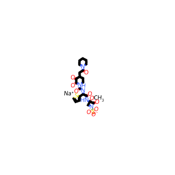 COC1(NC(=O)C(NC(=O)N2CCC(CC(=O)N3CCCCC3)C(=O)C2=O)c2cccs2)CN(S(=O)(=O)[O-])C1=O.[Na+]